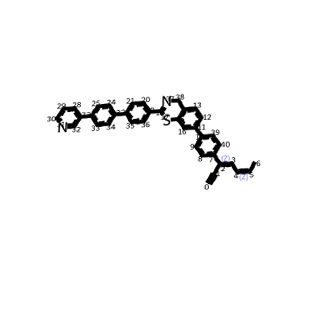 C#C/C(=C\C=C/C)c1ccc(-c2ccc3c(c2)SC(c2ccc(-c4ccc(-c5cccnc5)cc4)cc2)=NC3)cc1